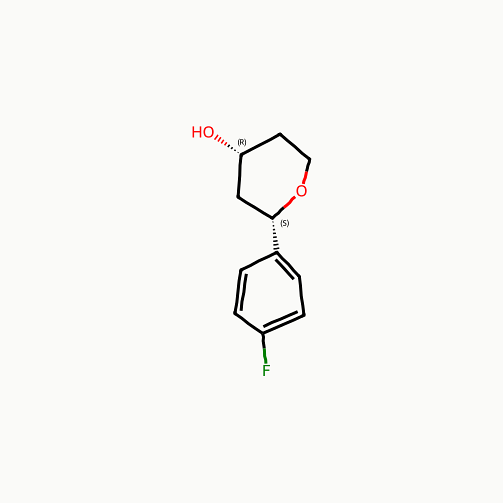 O[C@@H]1CCO[C@H](c2ccc(F)cc2)C1